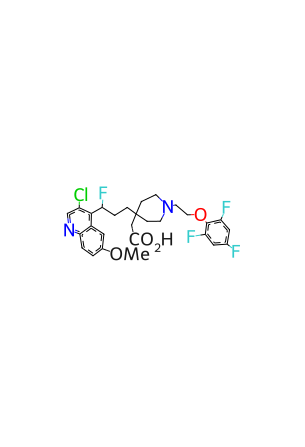 COc1ccc2ncc(Cl)c(C(F)CCC3(CC(=O)O)CCN(CCOc4c(F)cc(F)cc4F)CC3)c2c1